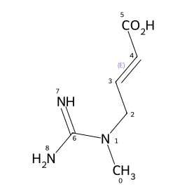 CN(C/C=C/C(=O)O)C(=N)N